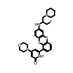 O=c1cc(N2CCOCC2)cc(-c2cccc3c2Sc2ccc(NC(CF)CN4CCCCC4)cc2S3)[nH]1